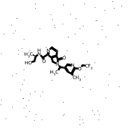 Cc1cc(C(C)N2Cc3c(ccnc3C(=O)N[C@H](C)CO)C2=O)cnc1OCC(F)(F)F